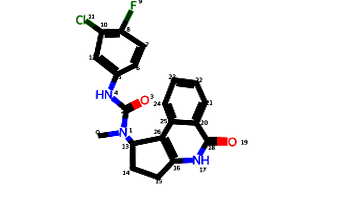 CN(C(=O)Nc1ccc(F)c(Cl)c1)C1CCc2[nH]c(=O)c3ccccc3c21